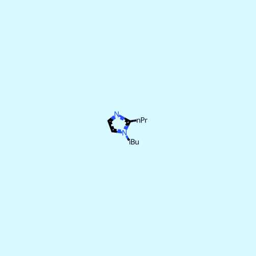 CCCc1nccn1C(C)CC